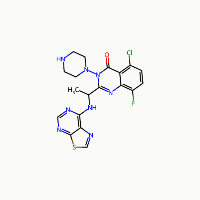 CC(Nc1ncnc2scnc12)c1nc2c(F)ccc(Cl)c2c(=O)n1N1CCNCC1